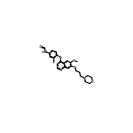 COc1cc2c(Oc3ccc(NC=O)cc3F)ccnc2cc1OCCCN1CCOCC1